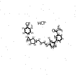 CN(C)C(=O)c1cccc(-c2nnc(SCCCN3CC[C@]4(C[C@@H]4c4ccc(C(F)(F)F)cc4)C3)n2C)n1.Cl